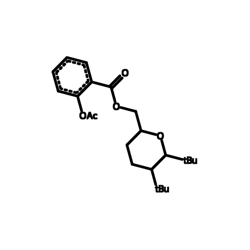 CC(=O)Oc1ccccc1C(=O)OCC1CCC(C(C)(C)C)C(C(C)(C)C)O1